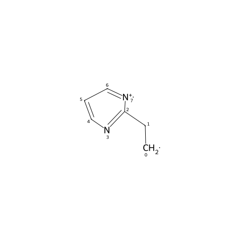 [CH2]CC1=NC=CC=[N+]1